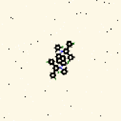 Cc1cccc(F)c1N(c1cc(-c2cccc(F)c2)cc(-c2cccc(F)c2)c1)c1ccc2ccc3c(N(c4cc(-c5cccc(F)c5)cc(-c5cccc(F)c5)c4)c4c(C)cccc4F)ccc4ccc1c2c43